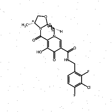 C[C@@H]1CO[C@@]23CCC[C@@H]2n2cc(C(=O)NCc4ccc(F)c(Cl)c4F)c(=O)c(O)c2C(=O)N13